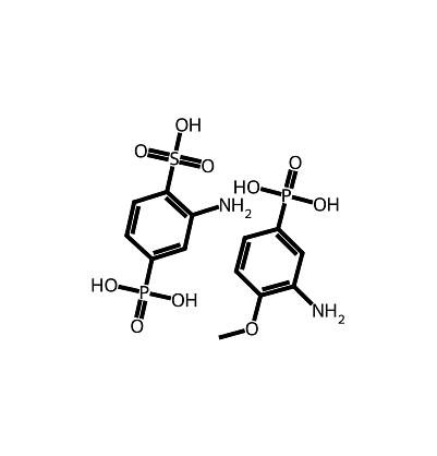 COc1ccc(P(=O)(O)O)cc1N.Nc1cc(P(=O)(O)O)ccc1S(=O)(=O)O